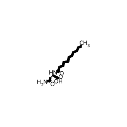 CCCCCCCCCCCC(=O)N[C@@H](CC(N)=O)C(=O)O